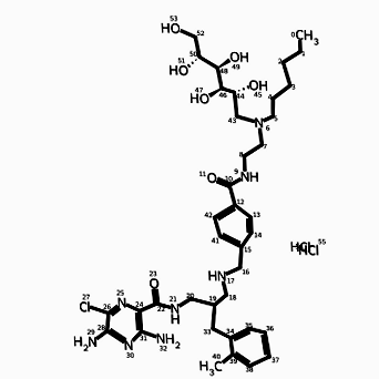 CCCCCCN(CCNC(=O)c1ccc(CNCC(CNC(=O)c2nc(Cl)c(N)nc2N)Cc2ccccc2C)cc1)C[C@@H](O)[C@@H](O)[C@H](O)[C@H](O)CO.Cl.Cl